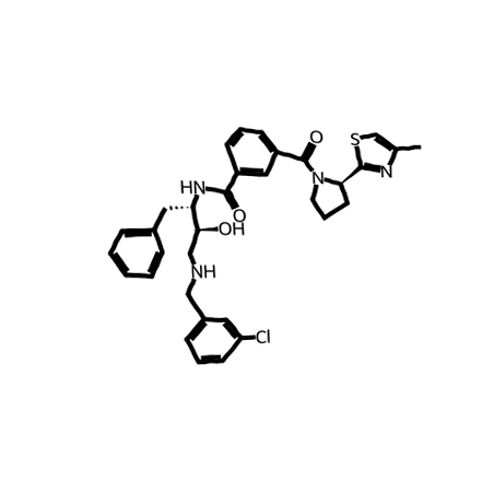 Cc1csc([C@H]2CCCN2C(=O)c2cccc(C(=O)N[C@@H](Cc3ccccc3)[C@@H](O)CNCc3cccc(Cl)c3)c2)n1